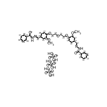 COc1cc(C=NNC(=O)c2cccnc2)ccc1OCCOCCOc1ccc(C=NNC(=O)c2cccnc2)cc1OC.O=S(=O)(O)O.O=S(=O)(O)O.O=S(=O)(O)O